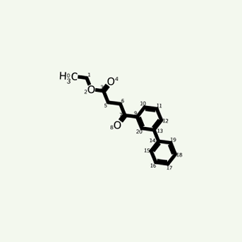 CCOC(=O)CCC(=O)c1cccc(-c2ccccc2)c1